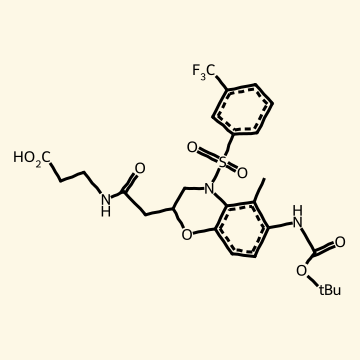 Cc1c(NC(=O)OC(C)(C)C)ccc2c1N(S(=O)(=O)c1cccc(C(F)(F)F)c1)CC(CC(=O)NCCC(=O)O)O2